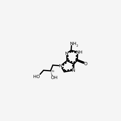 Nc1nc2c(ncn2C[C@H](O)CO)c(=O)[nH]1